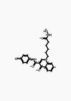 O=C(CCCCCn1cc(C(=O)Nc2ccc(Cl)cc2)c(=O)c2ccccc21)NO